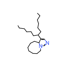 CCCCCCC(CCCCCC)C1=CN=CN2CCCCCCCC12